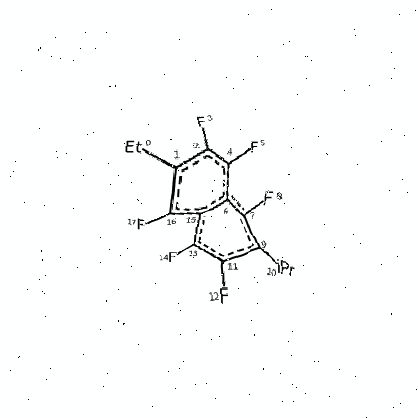 CCc1c(F)c(F)c2c(F)c(C(C)C)c(F)c(F)c2c1F